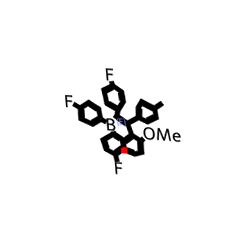 COc1ccccc1/C(=C(\B(c1ccc(F)cc1)c1ccc(F)cc1)c1ccc(F)cc1)c1ccc(C)cc1